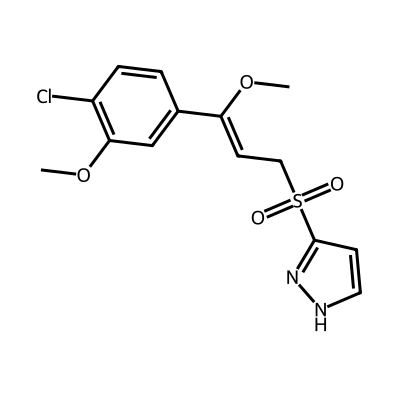 COC(=CCS(=O)(=O)c1cc[nH]n1)c1ccc(Cl)c(OC)c1